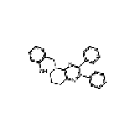 Oc1ccccc1CN1CCCc2nc(-c3ccccc3)c(-c3ccccc3)nc21